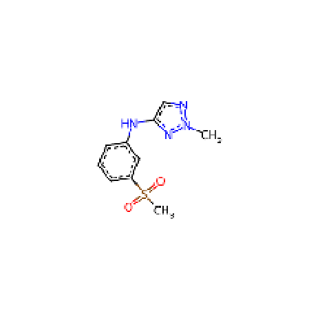 Cn1ncc(Nc2cccc(S(C)(=O)=O)c2)n1